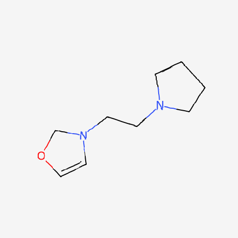 C1=CN(CCN2CCCC2)CO1